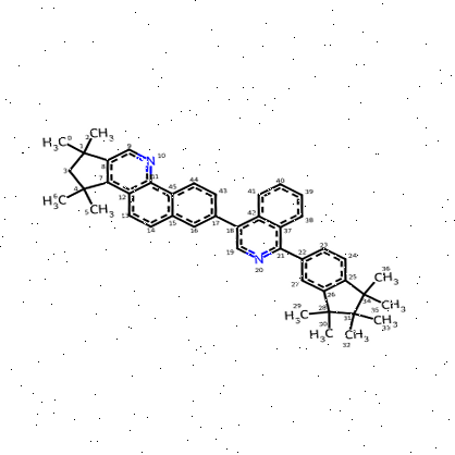 CC1(C)CC(C)(C)c2c1cnc1c2ccc2cc(-c3cnc(-c4ccc5c(c4)C(C)(C)C(C)(C)C5(C)C)c4ccccc34)ccc21